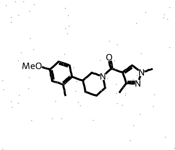 COc1ccc(C2CCCN(C(=O)c3cn(C)nc3C)C2)c(C)c1